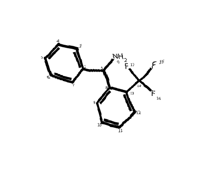 NC(c1ccccc1)c1ccccc1C(F)(F)F